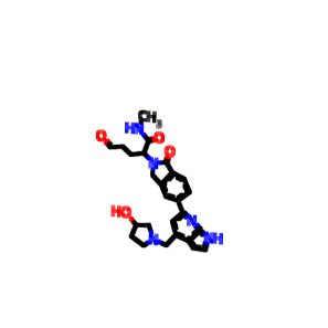 CNC(=O)C(CCC=O)N1Cc2cc(-c3cc(CN4CCC(O)C4)c4cc[nH]c4n3)ccc2C1=O